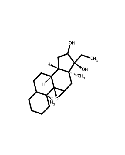 CC[C@@]1(O)C(O)C[C@H]2[C@@H]3CCC4CCCC[C@]4(C)[C@]34OC4C[C@@]21C